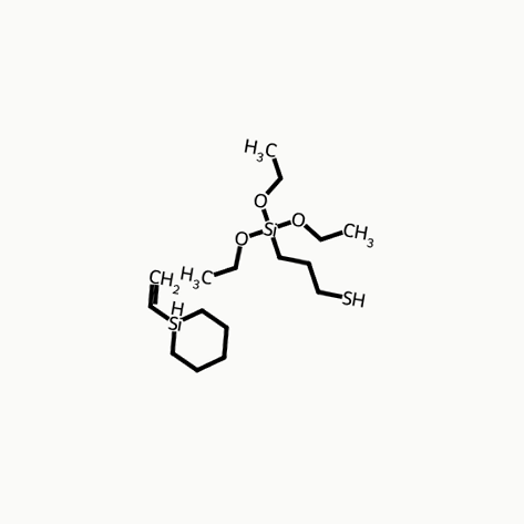 C=C[SiH]1CCCCC1.CCO[Si](CCCS)(OCC)OCC